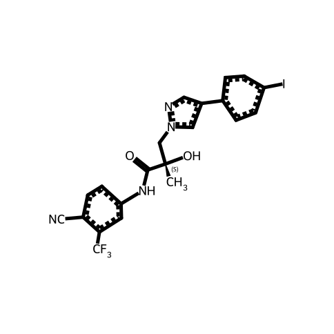 C[C@](O)(Cn1cc(-c2ccc(I)cc2)cn1)C(=O)Nc1ccc(C#N)c(C(F)(F)F)c1